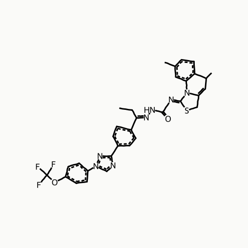 CC/C(=N\NC(=O)/N=C1\SCC2=CC(C)c3ccc(C)cc3N21)c1ccc(-c2ncn(-c3ccc(OC(F)(F)F)cc3)n2)cc1